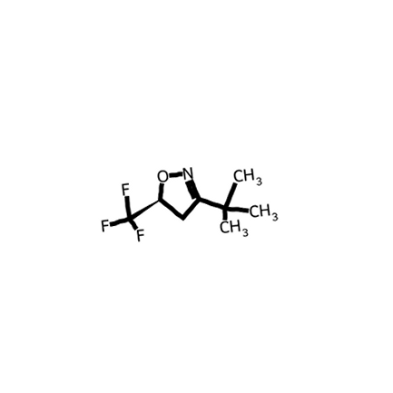 CC(C)(C)C1=NO[C@H](C(F)(F)F)C1